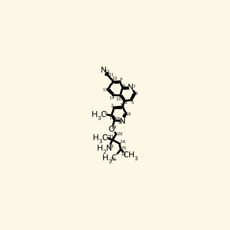 Cc1cc(-c2ccnc3cc(C#N)ccc23)cnc1OCC(C)(N)CC(C)C